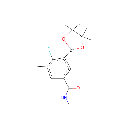 CNC(=O)c1cc(C)c(F)c(B2OC(C)(C)C(C)(C)O2)c1